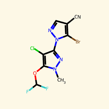 Cn1nc(-n2ncc(C#N)c2Br)c(Cl)c1OC(F)F